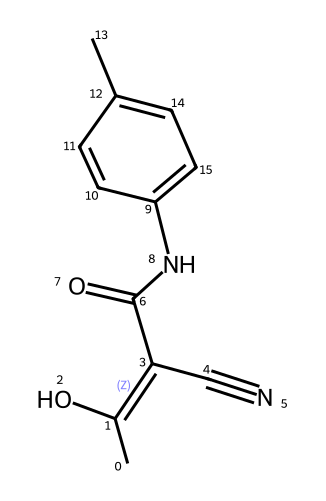 C/C(O)=C(\C#N)C(=O)Nc1ccc(C)cc1